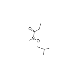 CCC(=O)N(C)OCC(C)C